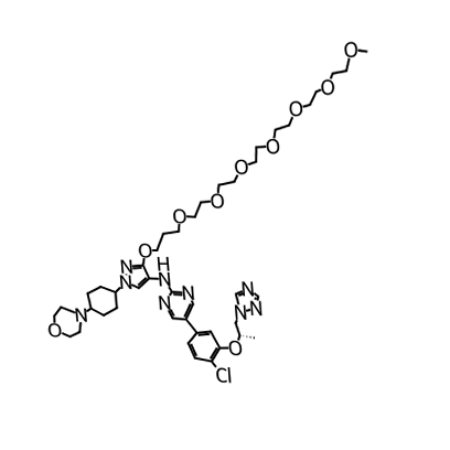 COCCOCCOCCOCCOCCOCCOCCCOc1nn(C2CCC(N3CCOCC3)CC2)cc1Nc1ncc(-c2ccc(Cl)c(O[C@@H](C)Cn3cncn3)c2)cn1